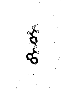 COC(=O)C(=O)c1ccc(OCC(=O)c2cccc3ccccc23)cc1